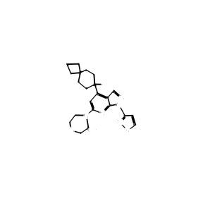 C[C@@H]1COCCN1c1cc(C2(O)CCC3(CCC3)CC2)c2cnn(-c3cc[nH]n3)c2n1